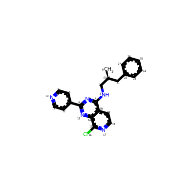 C[C@H](CNc1nc(-c2ccncc2)nc2c(Cl)nccc12)Cc1ccccc1